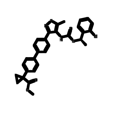 COC(=O)C1(c2ccc(-c3ccc(-c4nsc(C)c4NC(=O)O[C@H](C)c4ccccc4Cl)cc3)cc2)CC1